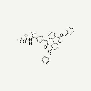 CC(C)(C)OC(=O)NC(=N)c1ccc(NC(=O)c2c(OCc3ccccc3)cccc2-c2ccccc2C(=O)OCc2ccccc2)cc1